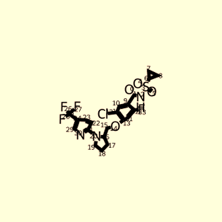 O=C(NS(=O)(=O)C1CC1)c1cc(Cl)c(OCC2CCCN2c2ccc(C(F)(F)F)cn2)cc1F